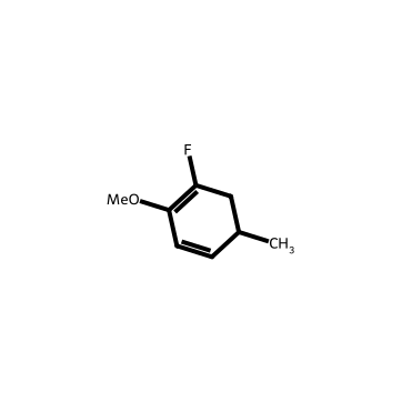 COC1=C(F)CC(C)C=C1